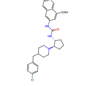 COc1cc(NC(=O)N[C@@H]2CCC[C@H]2N2CCC(Cc3ccc(Cl)cc3)CC2)cc2ccccc12